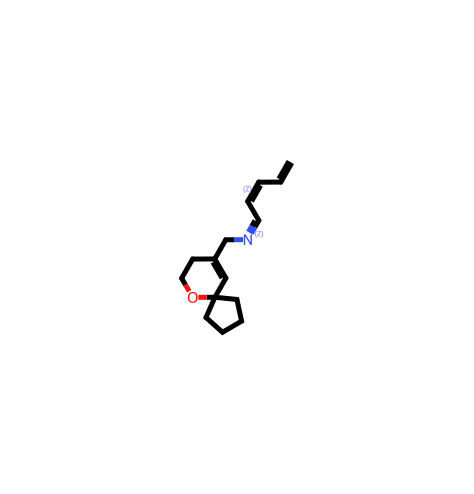 C=C/C=C\C=N/CC1=CC2(CCCC2)OCC1